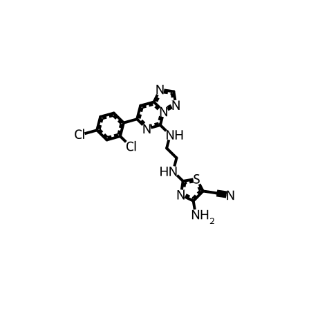 N#Cc1sc(NCCNc2nc(-c3ccc(Cl)cc3Cl)cc3ncnn23)nc1N